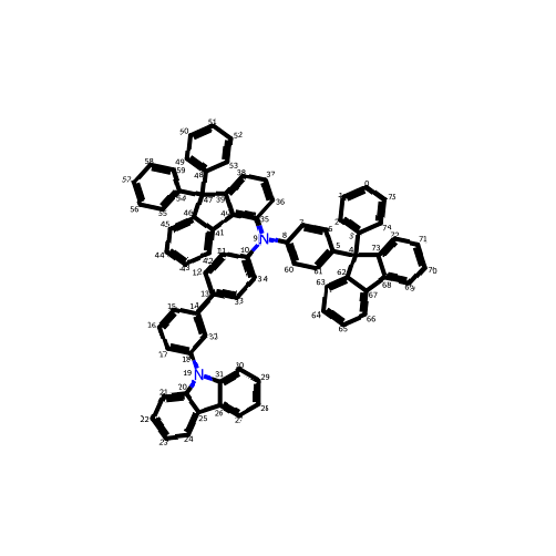 c1ccc(C2(c3ccc(N(c4ccc(-c5cccc(-n6c7ccccc7c7ccccc76)c5)cc4)c4cccc5c4-c4ccccc4C5(c4ccccc4)c4ccccc4)cc3)c3ccccc3-c3ccccc32)cc1